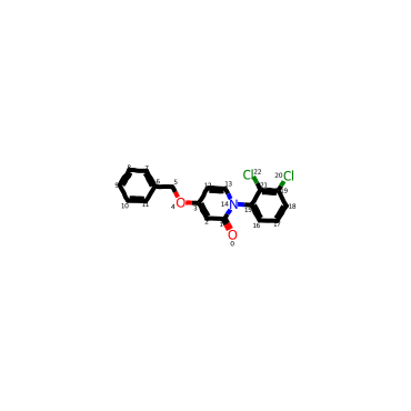 O=c1cc(OCc2ccccc2)ccn1-c1cccc(Cl)c1Cl